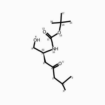 CC(C)CC(=O)C[C@@H](CO)NC(=O)OC(C)(C)C